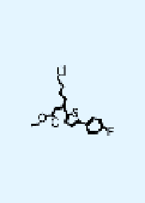 CCOC(=O)/C=C(/CCCCCl)c1ccc(-c2ccc(F)cc2)s1